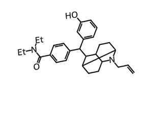 C=CCN1C2CCC3C(C(c4ccc(C(=O)N(CC)CC)cc4)c4cccc(O)c4)C2CCC31